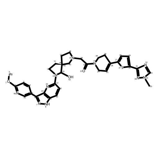 CC(C)Oc1ccc(-c2n[nH]c3ccc(N4CC[C@]5(CCN(CC(=O)N6CC=C(c7ccc(-c8ncn(C)n8)s7)CC6)C5)C4O)nc23)cn1